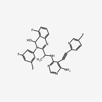 CC(Nc1ncnc(N)c1C#Cc1ccc(F)cn1)C1=Nc2cccc(F)c2C(O)N1c1cc(F)cc(F)c1